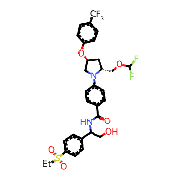 CCS(=O)(=O)c1ccc(C(CO)NC(=O)c2ccc(N3C[C@@H](Oc4ccc(C(F)(F)F)cc4)C[C@@H]3COC(F)F)cc2)cc1